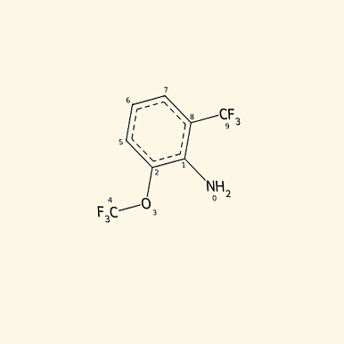 Nc1c(OC(F)(F)F)cccc1C(F)(F)F